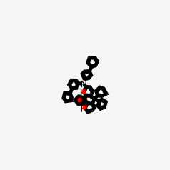 C[C@H]1C[C@@H]2C[C@@H](C)C[C@H](C1)C21c2ccccc2C(c2ccccc2)(c2ccccc2)c2ccc(N(c3ccc(-c4ccccc4)cc3)c3cccc(-c4ccccc4)c3)cc21